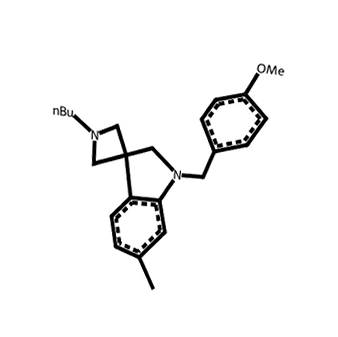 CCCCN1CC2(C1)CN(Cc1ccc(OC)cc1)c1cc(C)ccc12